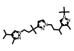 Cc1nn(CCC(C)(C)c2ccn(CCC(C)c3cn(C(C)(C)C)nc3C)n2)cc1C(C)C